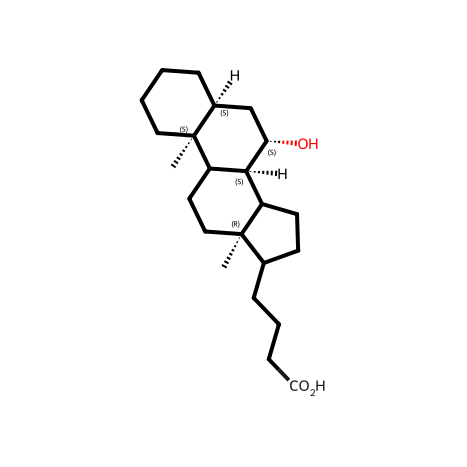 C[C@]12CCC3[C@H](C1CCC2CCCC(=O)O)[C@@H](O)C[C@@H]1CCCC[C@]31C